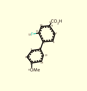 COc1ccc(-c2ccc(C(=O)O)cc2F)cc1